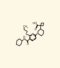 CCCSc1nc(N2CCCC(C3(C(=O)O)CCC3)C2)ccc1C(=O)NC1CCCCC1